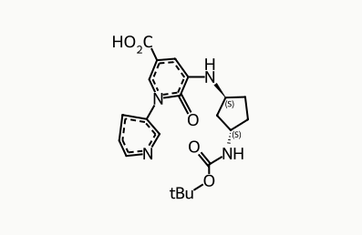 CC(C)(C)OC(=O)N[C@H]1CC[C@H](Nc2cc(C(=O)O)cn(-c3cccnc3)c2=O)C1